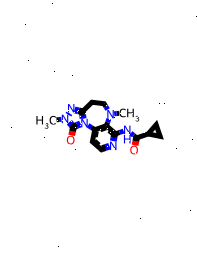 CN1CCc2nn(C)c(=O)n2-c2ccnc(NC(=O)C3CC3)c21